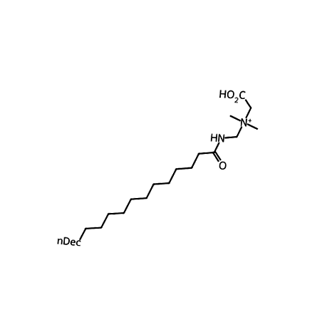 CCCCCCCCCCCCCCCCCCCCCC(=O)NC[N+](C)(C)CC(=O)O